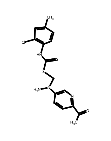 CC(=O)c1ccc(N(N)CSC(=S)Nc2ccc(C)cc2Cl)cn1